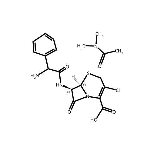 CC(=O)N(C)C.NC(C(=O)N[C@@H]1C(=O)N2C(C(=O)O)=C(Cl)CS[C@H]12)c1ccccc1